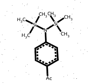 CC(=O)c1ccc(N([Si](C)(C)C)[Si](C)(C)C)cc1